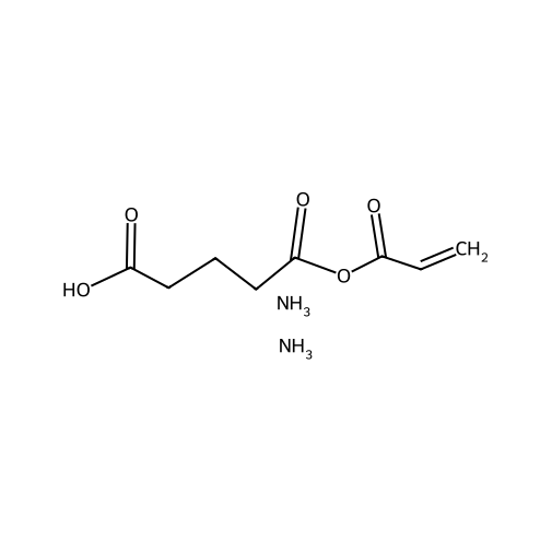 C=CC(=O)OC(=O)CCCC(=O)O.N.N